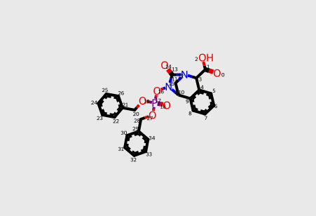 O=C(O)C1c2ccccc2C2CN1C(=O)N2OP(=O)(OCc1ccccc1)OCc1ccccc1